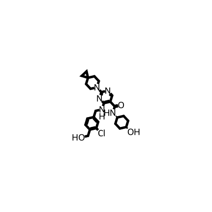 O=C(N[C@H]1CC[C@H](O)CC1)c1cnc(N2CCC3(CC2)CC3)nc1NCc1ccc(CO)c(Cl)c1